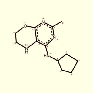 Cc1nc(NC2CCCC2)c2c(n1)OCCN2